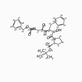 CC(C)(C)OC(=O)[C@@H]1CCCN1C(=O)C(O)C(Cc1ccccc1)NC(=O)CNC(=O)OCc1ccccc1